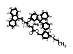 CCCOc1ccc(COC(=O)[C@H](CSC(c2ccccc2)(c2ccccc2)c2ccccc2)NC(=O)OCC2c3ccccc3-c3ccccc32)cc1